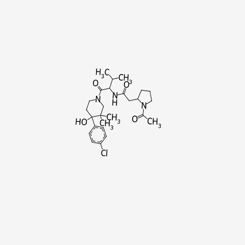 CC(=O)N1CCCC1CC(=O)NC(C(=O)N1CCC(O)(c2ccc(Cl)cc2)C(C)(C)C1)C(C)C